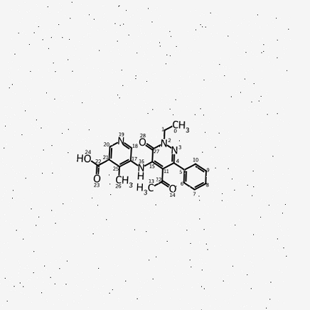 CCn1nc(-c2ccccc2)c(C(C)=O)c(Nc2cncc(C(=O)O)c2C)c1=O